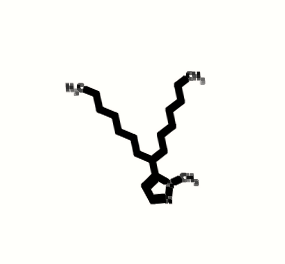 CCCCCCCC(CCCCCCC)c1ccnn1C